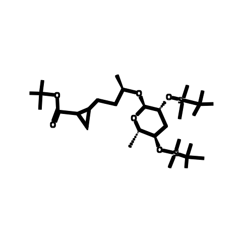 C[C@H](CCC1CC1C(=O)OC(C)(C)C)O[C@@H]1O[C@@H](C)[C@H](O[Si](C)(C)C(C)(C)C)C[C@H]1O[Si](C)(C)C(C)(C)C